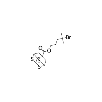 CC(C)(Br)CCCOC(=O)C12CC3SC(C1)SC(C2)S3